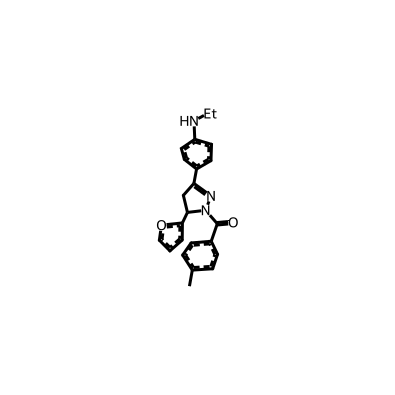 CCNc1ccc(C2=NN(C(=O)c3ccc(C)cc3)C(c3ccco3)C2)cc1